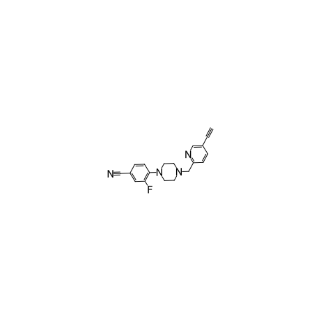 C#Cc1ccc(CN2CCN(c3ccc(C#N)cc3F)CC2)nc1